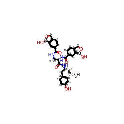 C[C@H](NC(=O)c1ccc2c(c1)B(O)OC2)[C@H](NC(=O)c1ccc2c(c1)B(O)OC2)C(=O)N[C@H](CC(=O)O)Cc1ccc(O)cc1